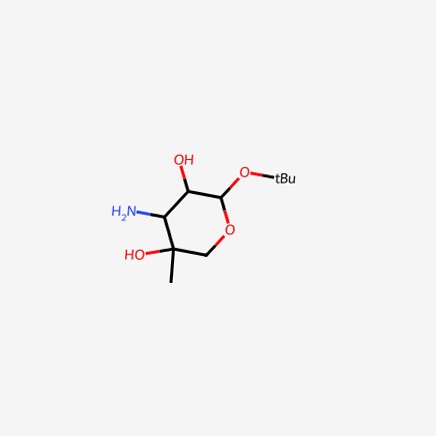 CC(C)(C)OC1OCC(C)(O)C(N)C1O